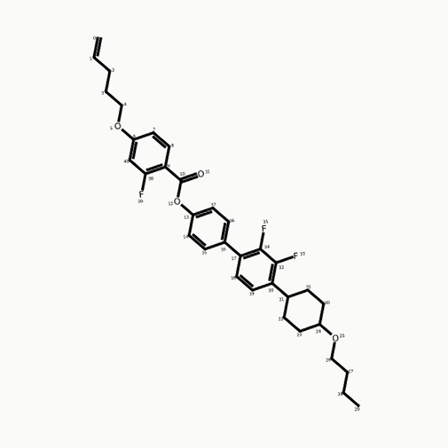 C=CCCCOc1ccc(C(=O)Oc2ccc(-c3ccc(C4CCC(OCCCC)CC4)c(F)c3F)cc2)c(F)c1